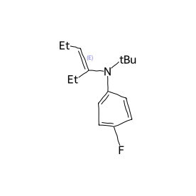 CC/C=C(\CC)N(c1ccc(F)cc1)C(C)(C)C